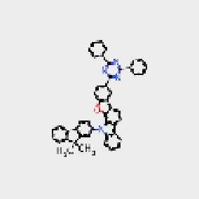 CC1(C)c2ccccc2-c2ccc(-n3c4ccccc4c4ccc5c6cc(-c7nc(-c8ccccc8)nc(-c8ccccc8)n7)ccc6oc5c43)cc21